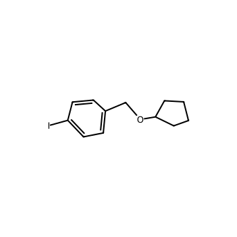 Ic1ccc(COC2CCCC2)cc1